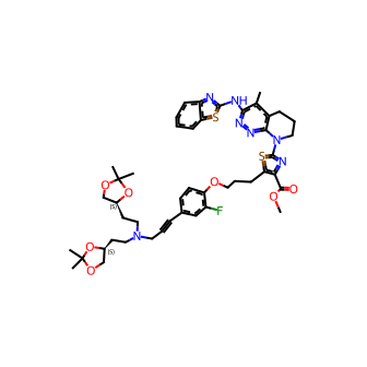 COC(=O)c1nc(N2CCCc3c2nnc(Nc2nc4ccccc4s2)c3C)sc1CCCOc1ccc(C#CCN(CC[C@H]2COC(C)(C)O2)CC[C@H]2COC(C)(C)O2)cc1F